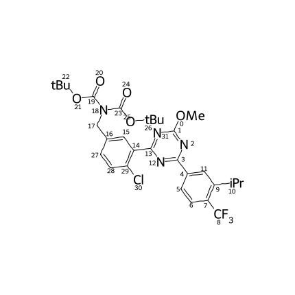 COc1nc(-c2ccc(C(F)(F)F)c(C(C)C)c2)nc(-c2cc(CN(C(=O)OC(C)(C)C)C(=O)OC(C)(C)C)ccc2Cl)n1